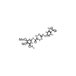 COc1cc(CC(=O)N2CCN(CCc3ccc4c(c3)COC4=O)CC2)cc(C)c1C#N